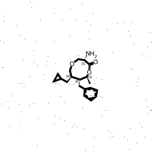 C[C@@H]1OC(=O)[C@@H](N)COC[C@H](CC2CC2)[C@H]1Cc1ccccc1